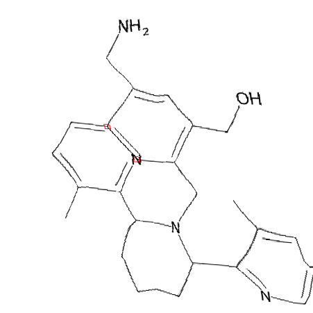 Cc1cccnc1C1CCCC(c2ncccc2C)N1Cc1ccc(CN)cc1CO